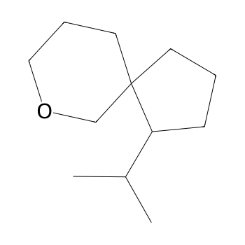 CC(C)C1CCCC12CCCOC2